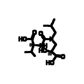 CC(C)CN(C[C@H](O)C(=O)O)C(=O)N[C@H](C(=O)O)C(C)C